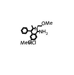 COCCN1C(C)=C(c2ccccc2)c2cc(OC)ccc2C1N.Cl